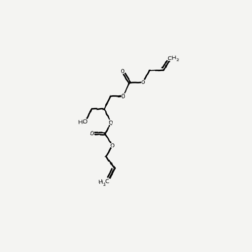 C=CCOC(=O)OCC(CO)OC(=O)OCC=C